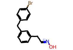 O/N=C/Cc1cccc(Cc2ccc(Br)cc2)c1